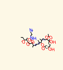 CCC(OC)C(C)C1OC1C(OC(=O)NCCCN(C)C)C(C)/C=C/C=C(\C)C1OC(=O)CC(O)CCC(C)(O)C(OC(C)=O)/C=C/C1C